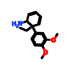 CCC1(c2ccc(OC)c(OC)c2)C=CC=CC1N